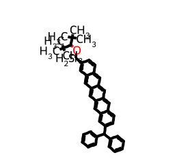 CC(C)(C)C(O[SiH2]c1ccc2cc3cc4cc5ccc(C(c6ccccc6)c6ccccc6)cc5cc4cc3cc2c1)C(C)(C)C